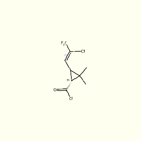 CC1(C)C(/C=C(\Cl)C(F)(F)F)[C@H]1C(=O)Cl